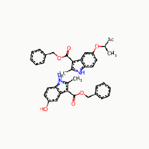 CC(=O)C(C)Oc1ccc2[nH]c(C)c(C(=O)OCc3ccccc3)c2c1.Cc1[nH]c2ccc(O)cc2c1C(=O)OCc1ccccc1